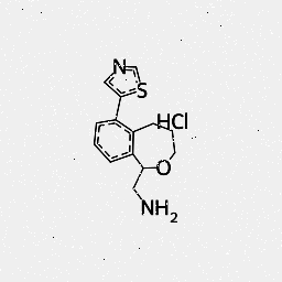 Cl.NCC1OCCCc2c(-c3cncs3)cccc21